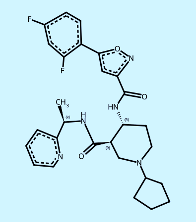 C[C@@H](NC(=O)[C@@H]1CN(C2CCCC2)CC[C@H]1NC(=O)c1cc(-c2ccc(F)cc2F)on1)c1ccccn1